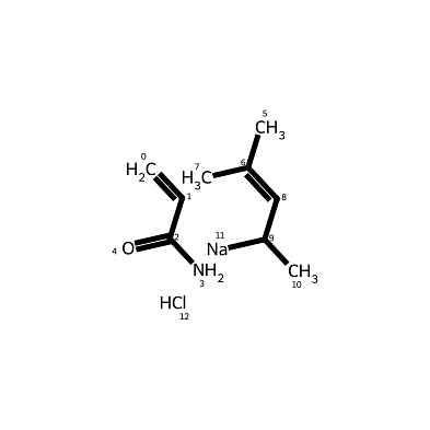 C=CC(N)=O.CC(C)=C[CH](C)[Na].Cl